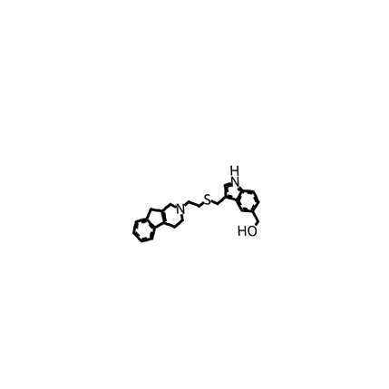 OCc1ccc2[nH]cc(CSCCN3CCC4=C(Cc5ccccc54)C3)c2c1